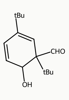 CC(C)(C)C1=CC(C=O)(C(C)(C)C)C(O)C=C1